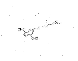 CCCCCCCCCCCCCCCCCCn1cc(C=O)c2ccc(C=O)c-2c1